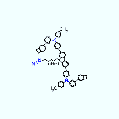 CCCCCCC1(CCCCCCN=[N+]=[N-])c2cc(-c3ccc(N(c4ccc(C)cc4)c4cccc(-c5ccc6c(c5)CC6)c4)cc3)ccc2-c2ccc(-c3ccc(N(c4ccc(C)cc4)c4cccc(-c5ccc6c(c5)CC6)c4)cc3)cc21